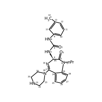 CCCN1C(=O)[C@H](NC(=O)Nc2cccc(C)c2)N=C(N2CCNCC2)c2ccccc21